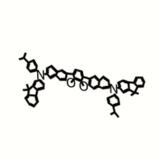 CC(C)c1ccc(N(c2ccc3c(c2)C(C)(C)c2ccccc2-3)c2ccc3cc4c(cc3c2)oc2c4ccc3c4cc5ccc(N(c6ccc(C(C)C)cc6)c6ccc7c(c6)C(C)(C)c6ccccc6-7)cc5cc4oc32)cc1